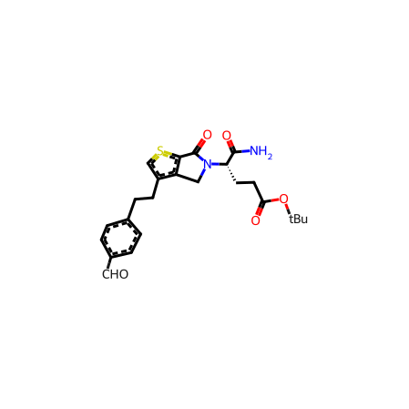 CC(C)(C)OC(=O)CC[C@@H](C(N)=O)N1Cc2c(CCc3ccc(C=O)cc3)csc2C1=O